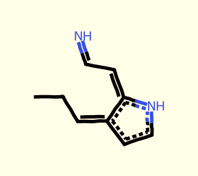 CC/C=c1/cc[nH]/c1=C/C=N